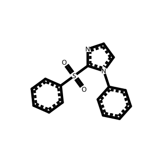 O=S(=O)(c1ccccc1)c1nccn1-c1ccccc1